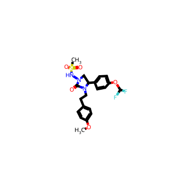 COc1ccc(CCN2C(=O)N(NS(C)(=O)=O)CC2c2ccc(OC(F)F)cc2)cc1